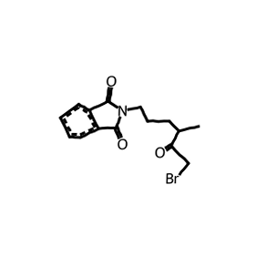 CC(CCCN1C(=O)c2ccccc2C1=O)C(=O)CBr